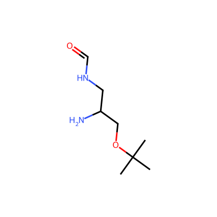 CC(C)(C)OCC(N)CNC=O